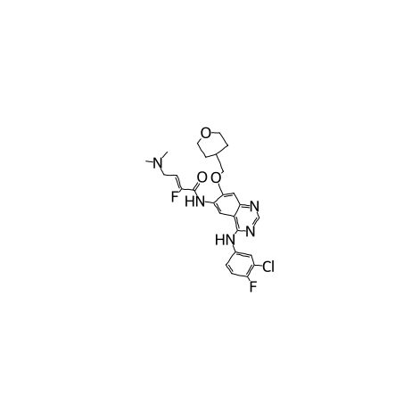 CN(C)CC=C(F)C(=O)Nc1cc2c(Nc3ccc(F)c(Cl)c3)ncnc2cc1OCC1CCOCC1